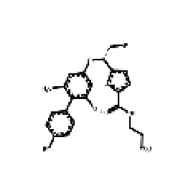 Cc1cc(O[C@H](CC(C)C)c2ccc(C(=O)NCCC(=O)O)s2)cc(C)c1-c1ccc(C(C)C)cc1